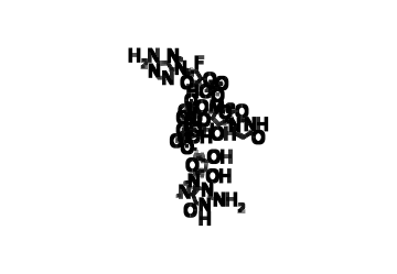 COP(=O)(OC[C@H]1O[C@@H](n2cnc3c(N)ncnc32)C(F)C1OP(=O)(O)OC[C@H]1O[C@@H](n2ccc(=O)[nH]c2=O)C(O)C1O)OP(=O)(O)OP(=O)(O)OC[C@H]1O[C@@H](n2c[n+](C)c3c(=O)[nH]c(N)nc32)C(O)C1O